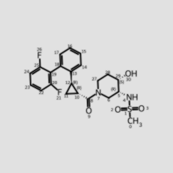 CS(=O)(=O)N[C@@H]1CN(C(=O)[C@@H]2C[C@H]2c2ccccc2-c2c(F)cccc2F)CC[C@@H]1O